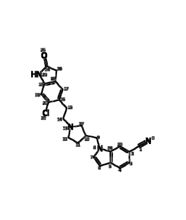 N#Cc1ccc2ccn(CC3CCN(CCc4cc5c(cc4Cl)NC(=O)C5)C3)c2c1